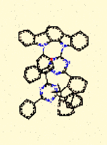 CC1(C)c2ccccc2-c2cccc(-c3nc(-c4ccccc4)nc(-n4c5ccccc5c5ccc6c7ccccc7n(-c7ccc(-c8nc(-c9ccccc9)nc(-c9ccccc9)n8)cc7)c6c54)n3)c21